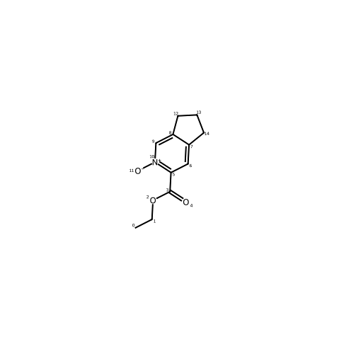 CCOC(=O)c1cc2c(c[n+]1[O-])CCC2